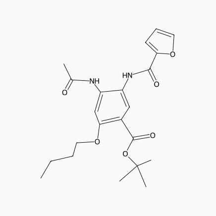 CCCCOc1cc(NC(C)=O)c(NC(=O)c2ccco2)cc1C(=O)OC(C)(C)C